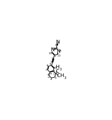 CC1(C)CCSc2ccc(C#Cc3cnc(C#N)nc3)cc21